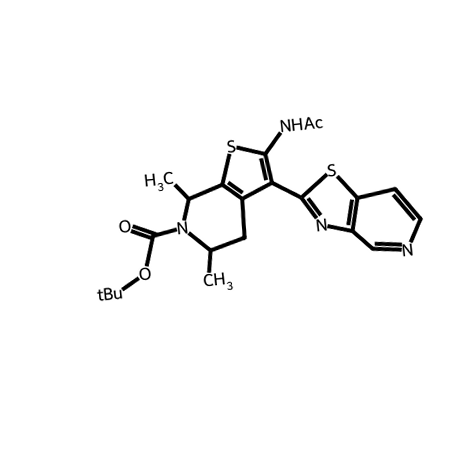 CC(=O)Nc1sc2c(c1-c1nc3cnccc3s1)CC(C)N(C(=O)OC(C)(C)C)C2C